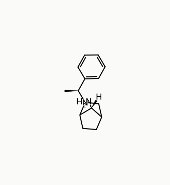 C[C@@H](c1ccccc1)N1CC2CCC1[C@@H]2N